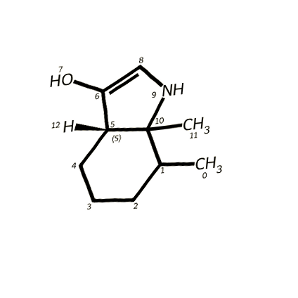 CC1CCC[C@@H]2C(O)=CNC12C